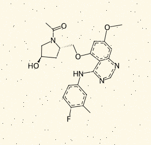 COc1cc(OC[C@@H]2C[C@@H](O)CN2C(C)=O)c2c(Nc3ccc(F)c(C)c3)ncnc2c1